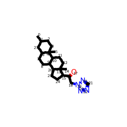 CC1CCC2(C)C(CCC3C2CCC2(C)C(C(=O)Cn4ncnn4)CCC32)C1